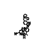 C/C(=C/C(=N)C#N)Nc1nc(-n2cnc3cc(CN4CCCC4=O)ccc32)ccc1C(C)O